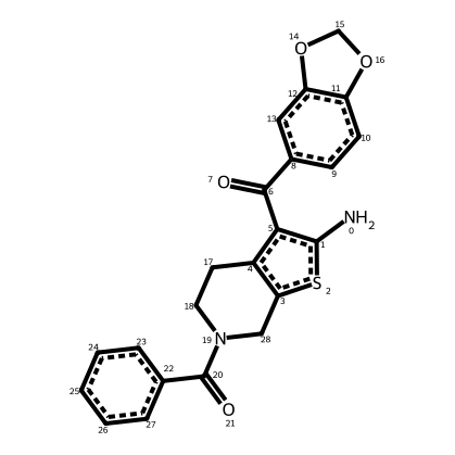 Nc1sc2c(c1C(=O)c1ccc3c(c1)OCO3)CCN(C(=O)c1ccccc1)C2